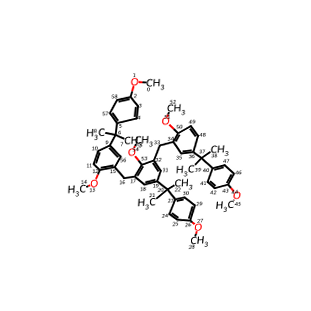 COc1ccc(C(C)(C)c2ccc(OC)c(Cc3cc(C(C)(C)c4ccc(OC)cc4)cc(Cc4cc(C(C)(C)c5ccc(OC)cc5)ccc4OC)c3OC)c2)cc1